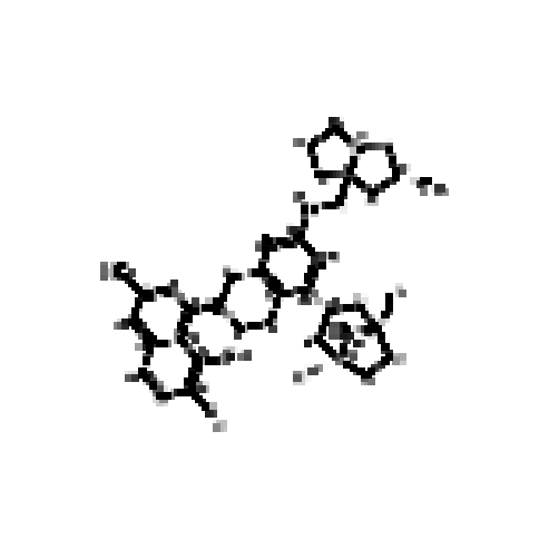 Oc1cc(N2CCc3c(nc(OC[C@@]45CCCN4C[C@H](F)C5)nc3[C@@H]3C[C@H]4CC[C@@H](C3)N4)C2)c2c(F)c(F)ccc2c1